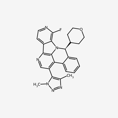 Cc1nnn(C)c1-c1cnc2c3ccnc(F)c3n3c2c1-c1ccccc1[C@@H]3C1CCOCC1